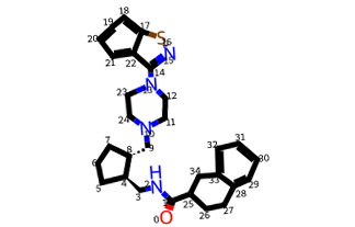 O=C(NC[C@H]1CCC[C@@H]1CN1CCN(c2nsc3ccccc23)CC1)C1CCc2ccccc2C1